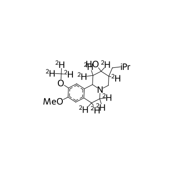 [2H]C([2H])([2H])Oc1cc2c(cc1OC)C([2H])([2H])C([2H])([2H])N1CC([2H])(CC(C)C)C([2H])(O)C([2H])([2H])C21